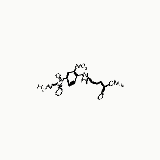 COC(=O)CCNc1ccc(S(N)(=O)=O)cc1[N+](=O)[O-]